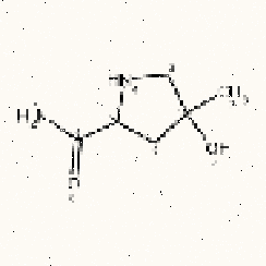 CC1(O)CNC(C(N)=O)C1